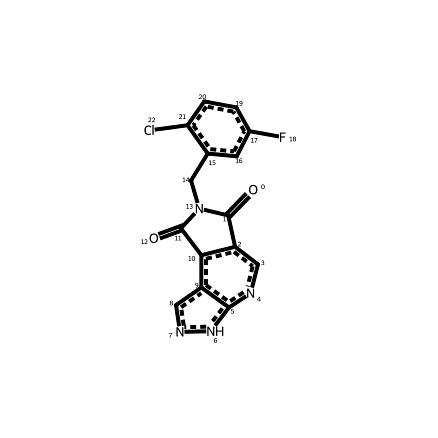 O=C1c2cnc3[nH]ncc3c2C(=O)N1Cc1cc(F)ccc1Cl